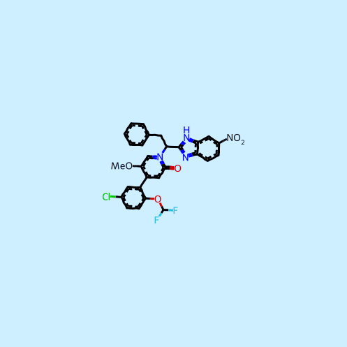 COc1cn(C(Cc2ccccc2)c2nc3ccc([N+](=O)[O-])cc3[nH]2)c(=O)cc1-c1cc(Cl)ccc1OC(F)F